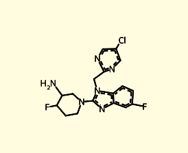 NC1CN(c2nc3cc(F)ccc3n2Cc2ncc(Cl)cn2)CCC1F